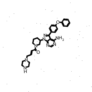 Nc1ncnc2c1c(-c1ccc(Oc3ccccc3)cc1)nn2C1CCCN(C(=O)/C=C/CN2CCNCC2)C1